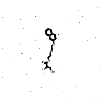 CCC(CC(C)(C)C)C(=O)OCCOCCOc1ccc2ccccc2c1